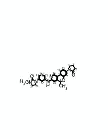 CC1Oc2cc(N3CCCC3=O)ccc2-c2cnc(Nc3cncc(N4CCN(C)C4=O)c3)cc21